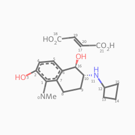 CNc1c(O)ccc2c1CC[C@@H](NC1CCC1)[C@@H]2O.O=C(O)/C=C/C(=O)O